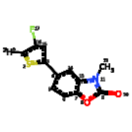 [2H]c1sc(-c2ccc3oc(=O)n(C)c3c2)cc1F